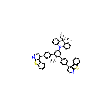 Cc1c(-c2ccc(-c3ccnc4sc5ccccc5c34)cc2)cc(N2c3ccccc3C(C)(C)c3ccccc32)cc1-c1ccc(-c2ccnc3sc4ccccc4c23)cc1